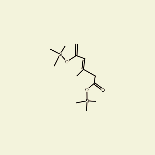 C=C(/C=C(\C)CC(=O)O[Si](C)(C)C)O[Si](C)(C)C